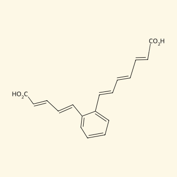 O=C(O)C=CC=CC=Cc1ccccc1C=CC=CC(=O)O